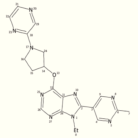 CCn1c(-c2cnc(C)nc2)nc2c(OC3CCN(c4cnccn4)C3)ncnc21